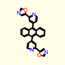 c1ccc2c(-c3ccnc(-c4cnco4)c3)c3ccccc3c(-c3ccnc(-c4cnco4)c3)c2c1